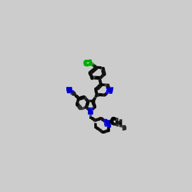 CN1CCCC(Cn2cc(-c3cncc(-c4ccc(Cl)cc4)c3)c3cc(C#N)ccc32)C1